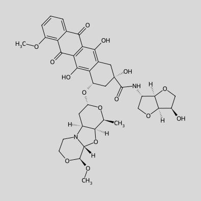 COc1cccc2c1C(=O)c1c(O)c3c(c(O)c1C2=O)C[C@@](O)(C(=O)N[C@H]1CO[C@H]2[C@@H]1OC[C@H]2O)C[C@@H]3O[C@H]1C[C@H]2[C@H](O[C@@H]3[C@@H](OC)OCCN32)[C@H](C)O1